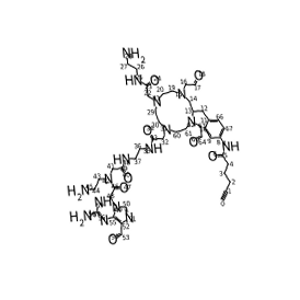 C#CCCCC(=O)Nc1ccc(CC2CN(CC=O)CCN(CC(=O)NCCN)CCN(CC(=O)NCCNC(=O)CN(CCN)C(=O)Cn3cnc(C=O)c3N=C(N)N)CCN2CC=O)cc1